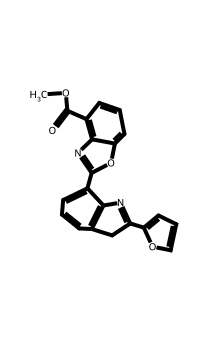 COC(=O)c1cccc2oc(-c3cccc4c3N=C(c3ccco3)C4)nc12